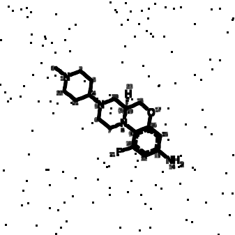 CN1CCC(N2CCN3c4c(F)cc(N)cc4OC[C@@H]3C2)CC1